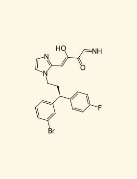 N=CC(=O)/C(O)=C/c1nccn1CC[C@@H](c1ccc(F)cc1)c1cccc(Br)c1